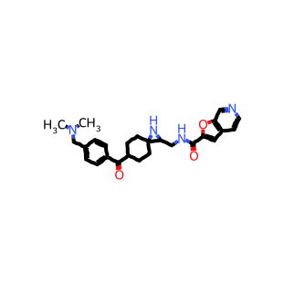 CN(C)Cc1ccc(C(=O)C2CCC3(CC2)NC3CNC(=O)c2cc3ccncc3o2)cc1